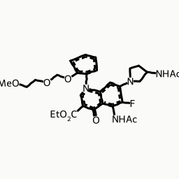 CCOC(=O)c1cn(-c2ccccc2OCOCCOC)c2cc(N3CCC(NC(C)=O)C3)c(F)c(NC(C)=O)c2c1=O